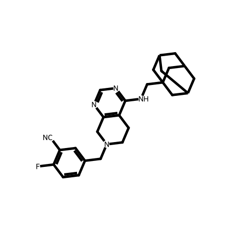 N#Cc1cc(CN2CCc3c(ncnc3NCC34CC5CC(CC(C5)C3)C4)C2)ccc1F